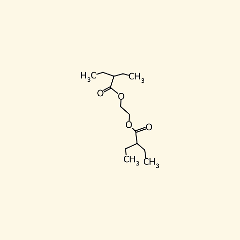 CCC(CC)C(=O)OCCOC(=O)C(CC)CC